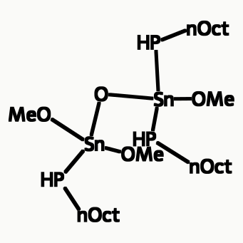 CCCCCCCC[PH][Sn]([O]C)([O]C)[O][Sn]([O]C)([PH]CCCCCCCC)[PH]CCCCCCCC